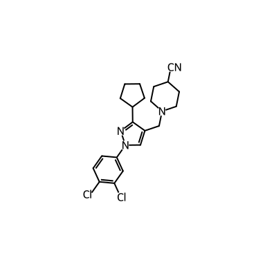 N#CC1CCN(Cc2cn(-c3ccc(Cl)c(Cl)c3)nc2C2CCCC2)CC1